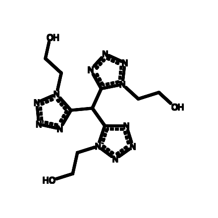 OCCn1nnnc1C(c1nnnn1CCO)c1nnnn1CCO